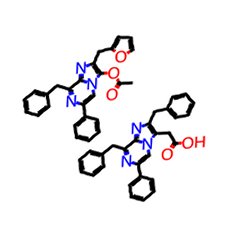 CC(=O)Oc1c(Cc2ccco2)nc2c(Cc3ccccc3)nc(-c3ccccc3)cn12.O=C(O)Cc1c(Cc2ccccc2)nc2c(Cc3ccccc3)nc(-c3ccccc3)cn12